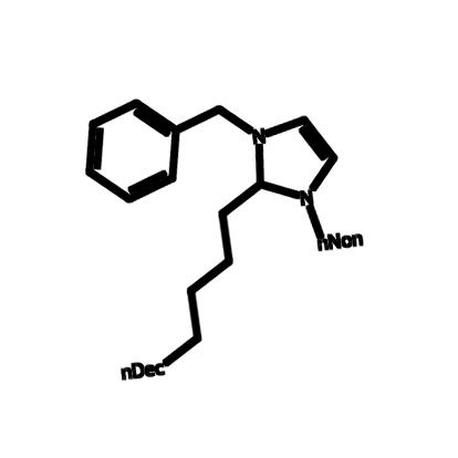 CCCCCCCCCCCCCCC1N(CCCCCCCCC)C=CN1Cc1ccccc1